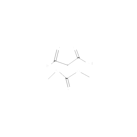 COC(=O)OC.O=C(O)CC(=O)O